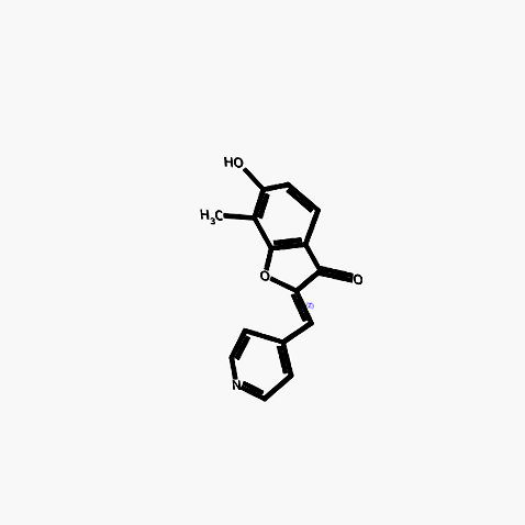 Cc1c(O)ccc2c1O/C(=C\c1ccncc1)C2=O